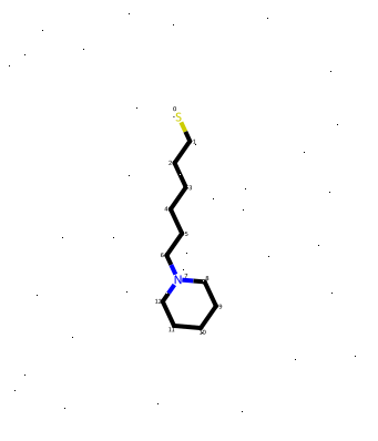 [S]CCCCCCN1CCCCC1